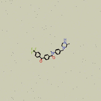 C[C@H]1CN(Cc2ccc(N(C)C(=O)c3ccc(C(=O)c4ccc(C(F)(F)F)cc4)cc3)cc2)CCN1